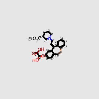 CCOC(=O)[C@@H]1CCCN(CC=C2c3ccccc3CSc3ccccc32)C1.O=C(O)C(=O)O